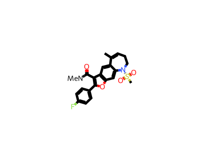 CNC(=O)c1c(-c2ccc(F)cc2)oc2cc3c(cc12)C(C)=CCCN3S(C)(=O)=O